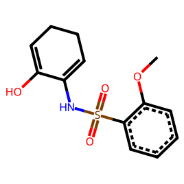 COc1ccccc1S(=O)(=O)NC1=CCCC=C1O